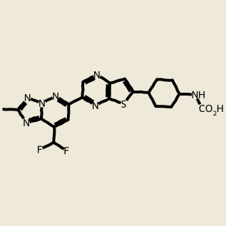 Cc1nc2c(C(F)F)cc(-c3cnc4cc(C5CCC(NC(=O)O)CC5)sc4n3)nn2n1